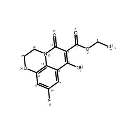 CCOC(=O)c1c(O)c2cc(F)cc3c2n(c1=O)CCO3